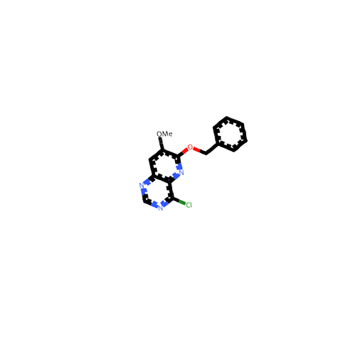 COc1cc2ncnc(Cl)c2nc1OCc1ccccc1